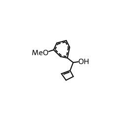 COc1cccc(C(O)C2=CCC2)c1